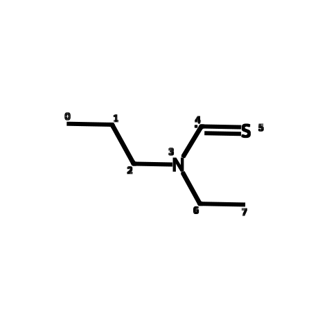 CCCN([C]=S)CC